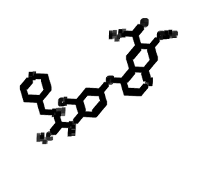 C=C(NCc1ccncc1)Nc1ccc(Oc2ccnc3cc(OC)c(C(N)=O)cc23)cc1Cl